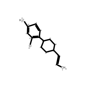 CC=CC1CCC(c2ccc(C)cc2Cl)CC1